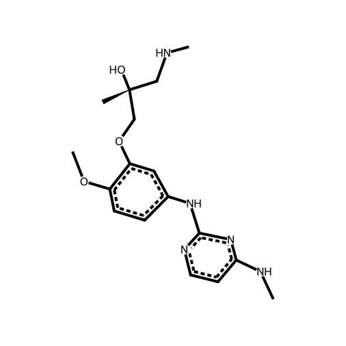 CNC[C@@](C)(O)COc1cc(Nc2nccc(NC)n2)ccc1OC